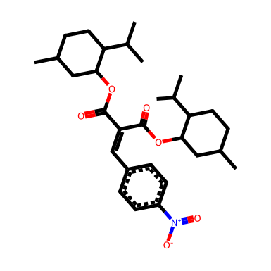 CC1CCC(C(C)C)C(OC(=O)C(=Cc2ccc([N+](=O)[O-])cc2)C(=O)OC2CC(C)CCC2C(C)C)C1